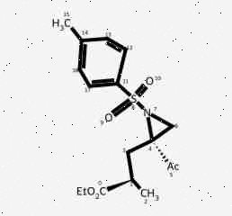 CCOC(=O)[C@H](C)C[C@]1(C(C)=O)CN1S(=O)(=O)c1ccc(C)cc1